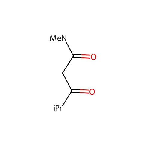 [CH2]NC(=O)CC(=O)C(C)C